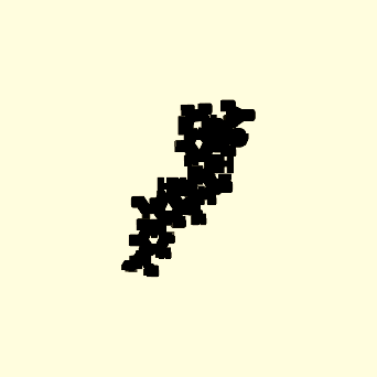 CCc1cc(Nc2ncc(F)c(Nc3ccc4nccnc4c3N(C)S(=O)(=O)C3CC3)n2)c(OC)cc1N1CCC(N(C)C)CC1